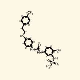 CS(=O)(=O)Nc1cc(NC(=O)Nc2ccc(SCCc3ccc(C(F)(F)F)cc3)cc2)ccc1O